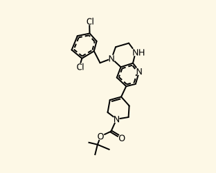 CC(C)(C)OC(=O)N1CC=C(c2cnc3c(c2)N(Cc2cc(Cl)ccc2Cl)CCN3)CC1